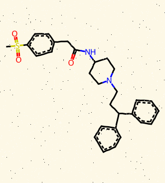 CS(=O)(=O)c1ccc(CC(=O)NC2CCN(CCC(c3ccccc3)c3ccccc3)CC2)cc1